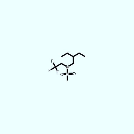 CCC(CC)CN(CC(F)(F)F)S(C)(=O)=O